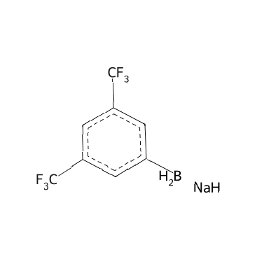 Bc1cc(C(F)(F)F)cc(C(F)(F)F)c1.[NaH]